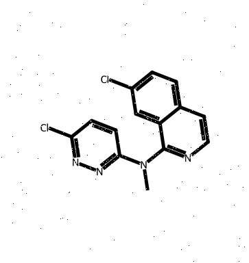 CN(c1ccc(Cl)nn1)c1nccc2ccc(Cl)cc12